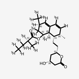 [3H]C1=C([3H])[C@H](C)[C@H](CC[C@H]2C[C@@H](O)CC(=O)O2)[C@@H]2C1=C([3H])[C@]([3H])(C([3H])([3H])[3H])C([3H])([3H])[C@]2([3H])OC(=O)[C@@]([3H])(C([3H])([3H])[3H])C([3H])([3H])C([3H])([3H])[3H]